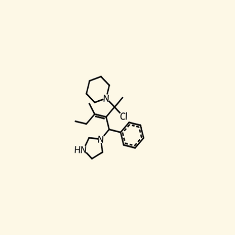 CCC(C)=C(C(c1ccccc1)N1CCNC1)C(C)(Cl)N1CCCCC1